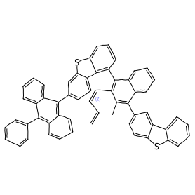 C=C/C=C\c1c(C)c(-c2ccc3sc4ccccc4c3c2)c2ccccc2c1-c1cccc2sc3cc(-c4c5ccccc5c(-c5ccccc5)c5ccccc45)ccc3c12